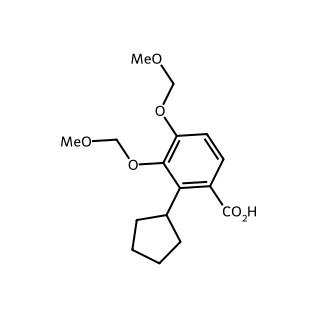 COCOc1ccc(C(=O)O)c(C2CCCC2)c1OCOC